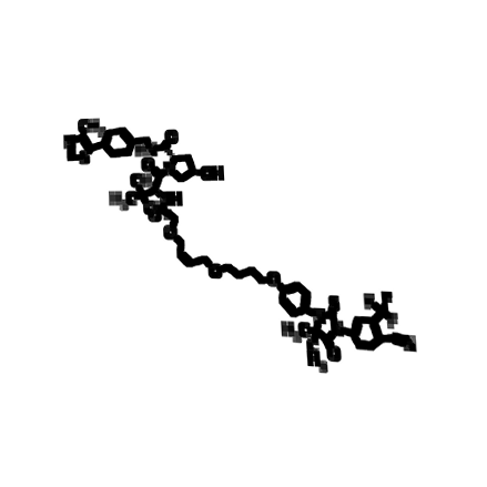 Cc1ncsc1-c1ccc(CNC(=O)[C@@H]2C[C@@H](O)CN2C(=O)[C@@H](NC(=O)COC/C=C\COCCCCOc2ccc(N3C(=S)N(c4ccc(C#N)c(C(F)(F)F)c4)C(=O)C3(C)C)cc2)C(C)(C)C)cc1